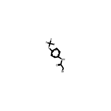 O=C(CBr)Nc1ccc(SC(F)(F)F)cc1